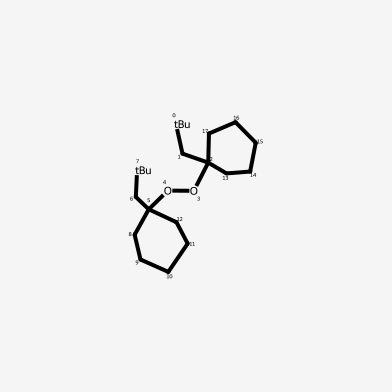 CC(C)(C)CC1(OOC2(CC(C)(C)C)CCCCC2)CCCCC1